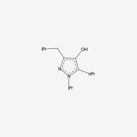 CCCc1c(O)c(CC(C)C)nn1C(C)C